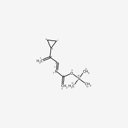 C=C(/N=C/C(=C)C1CC1)O[Si](C)(C)C